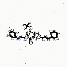 CC(C)(C)OC(=O)NC(COC/C=C/c1ccccc1)C(=O)OC/C=C/c1ccccc1